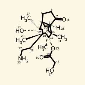 C[C@@H]1CC[C@@]23CCC(=O)[C@H]2[C@]1(C)[C@H](OC(=O)CO)C[C@](C)(CCN)[C@@H](O)[C@@H]3C